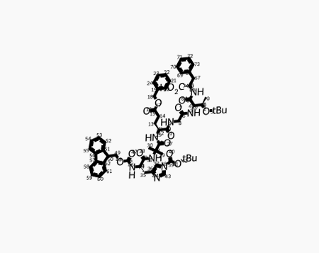 C[C@@H](OC(C)(C)C)[C@H](NC(=O)CNC(=O)[C@H](CCC(=O)OCc1ccccc1)NC(=O)C(C)(C)NC(=O)[C@H](Cc1cn(C(=O)OC(C)(C)C)cn1)NC(=O)OCC1c2ccccc2-c2ccccc21)C(=O)N[C@@H](Cc1ccccc1)C(=O)O